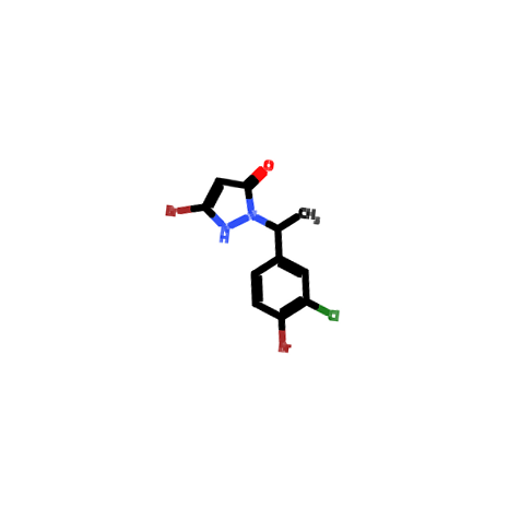 CC(c1ccc(Br)c(Cl)c1)n1[nH]c(Br)cc1=O